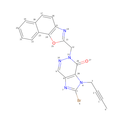 CC#CCn1c(Br)nc2cnn(Cc3nc4ccc5ccccc5c4o3)c(=O)c21